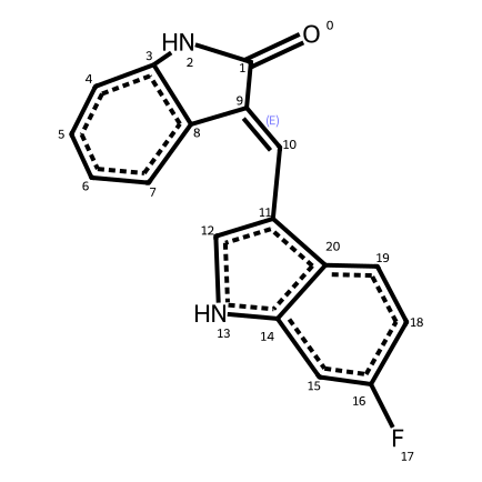 O=C1Nc2ccccc2/C1=C\c1c[nH]c2cc(F)ccc12